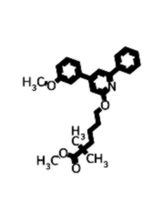 COC(=O)C(C)(C)CCCCOc1cc(-c2cccc(OC)c2)cc(-c2ccccc2)n1